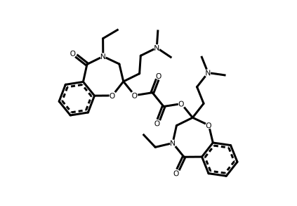 CCN1CC(CCN(C)C)(OC(=O)C(=O)OC2(CCN(C)C)CN(CC)C(=O)c3ccccc3O2)Oc2ccccc2C1=O